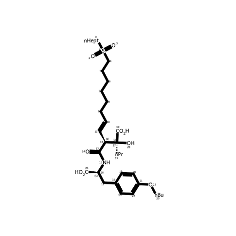 CCCCCCCS(=O)(=O)CCCCCCC=C[C@H](C(=O)N[C@@H](Cc1ccc(OCCCC)cc1)C(=O)O)[C@@](O)(CCC)C(=O)O